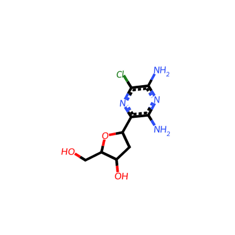 Nc1nc(N)c(C2CC(O)C(CO)O2)nc1Cl